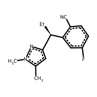 CC[C@H](c1cc(C)n(C)n1)c1cc(F)ccc1C#N